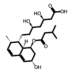 CC(C)CC(=O)O[C@H]1C[C@H](O)C=C2C=C[C@H](C)[C@H](CC[C@@H](O)C[C@@H](O)CC(=O)O)[C@H]21